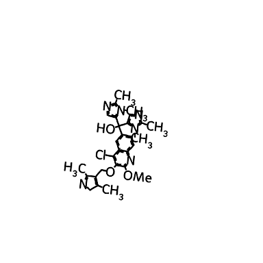 COc1nc2ccc(C(O)(c3cnc(C)n3C)c3cnc(C)n3C)cc2c(Cl)c1OCC1=C(C)CN=C1C